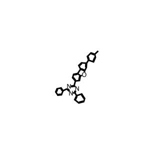 Cc1ccc(-c2ccc3c(c2)oc2cc(-c4nc(-c5ccccc5)nc(-c5ccccc5)n4)ccc23)cc1